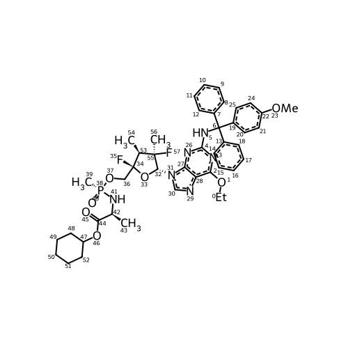 CCOc1nc(NC(c2ccccc2)(c2ccccc2)c2ccc(OC)cc2)nc2c1ncn2[C@@H]1O[C@](F)(CO[P@](C)(=O)N[C@@H](C)C(=O)OC2CCCCC2)[C@@H](C)[C@@]1(C)F